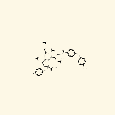 COC(=O)[C@]1(Sc2ccc(C)cc2)C[C@H](OC(C)=O)[C@@H](NC(=O)COC(C)=O)[C@H]([C@H](OC(C)=O)[C@@H](CNC(=O)c2ccc(Oc3ccc(O)cc3)cc2)OC(C)=O)O1